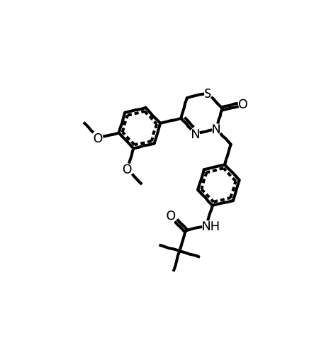 COc1ccc(C2=NN(Cc3ccc(NC(=O)C(C)(C)C)cc3)C(=O)SC2)cc1OC